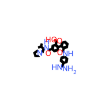 CC(C)C(CN1CCCC1)NC(=O)c1ccc(-c2ccccc2C(=O)Nc2ccc(C(=N)N)cc2)c(C(=O)O)c1